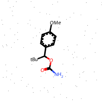 COc1ccc(C(OC(N)=O)C(C)(C)C)cc1